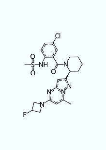 Cc1cc(N2CC(F)C2)nc2cc([C@@H]3CCCCN3C(=O)c3cc(Cl)ccc3NS(C)(=O)=O)nn12